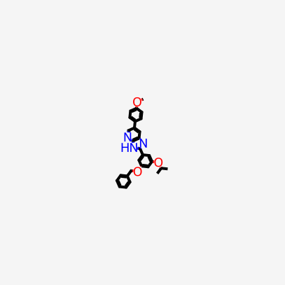 COc1ccc(-c2cnc3[nH]c(-c4cc(OCc5ccccc5)cc(OC(C)C)c4)nc3c2)cc1